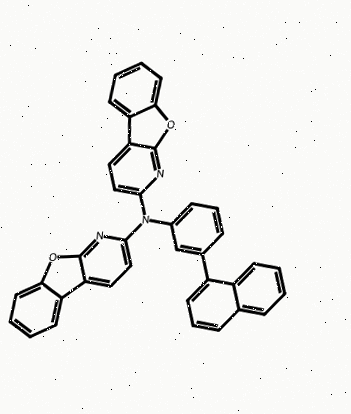 c1cc(-c2cccc3ccccc23)cc(N(c2ccc3c(n2)oc2ccccc23)c2ccc3c(n2)oc2ccccc23)c1